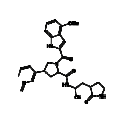 C=N/C=C(\C=C/C)C1CC(C(=O)NC(C#N)CC2CCNC2=O)N(C(=O)c2cc3c(OC)cccc3[nH]2)C1